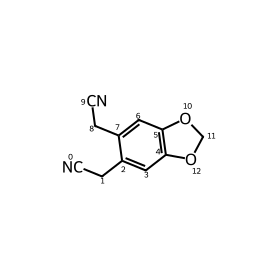 N#CCc1cc2c(cc1CC#N)OCO2